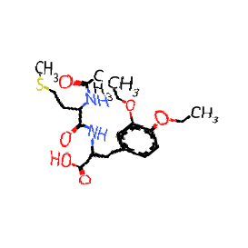 CCOc1ccc(CC(NC(=O)C(CCSC)NC(C)=O)C(=O)O)cc1OCC